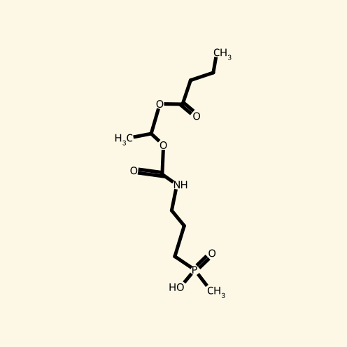 CCCC(=O)OC(C)OC(=O)NCCCP(C)(=O)O